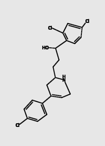 OC(CCC1CC(c2ccc(Cl)cc2)=CCN1)c1ccc(Cl)cc1Cl